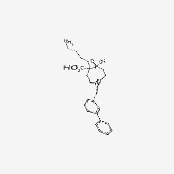 NCCCCC1(C(=O)O)CCN(Cc2cccc(-c3ccccc3)c2)CCP1(=O)O